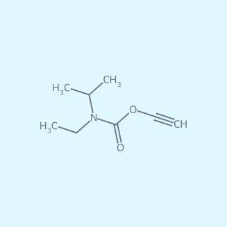 C#COC(=O)N(CC)C(C)C